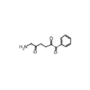 NCC(=O)CCC(=O)C(=O)c1ccccc1